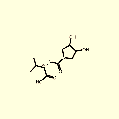 CC(C)[C@H](NC(=O)N1CC(O)C(O)C1)C(=O)O